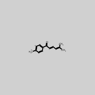 CC(C)=CC=CC(=O)c1ccc(C)cc1